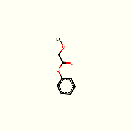 CCOCC(=O)Oc1ccccc1